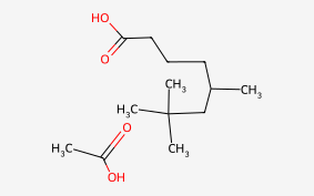 CC(=O)O.CC(CCCC(=O)O)CC(C)(C)C